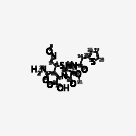 CON=CC1S[C@@H]2N(C(=O)[C@]2(NC(=O)Cc2cccs2)OC)C(C(=O)O)=C1C(N)=O